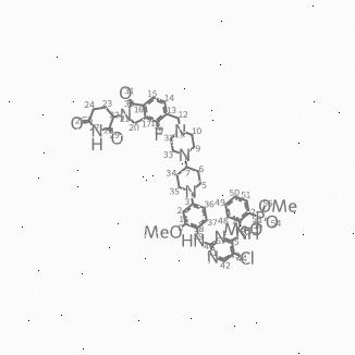 COc1cc(N2CCC(N3CCN(Cc4ccc5c(c4F)CN(C4CCC(=O)NC4=O)C5=O)CC3)CC2)ccc1Nc1ncc(Cl)c(Nc2ccccc2P(=O)(OC)OC)n1